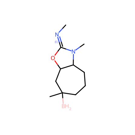 BC1(C)CCCC2C(C1)O/C(=N/C)N2C